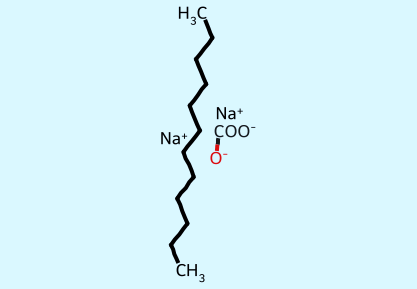 CCCCCCCCCCCC.O=C([O-])[O-].[Na+].[Na+]